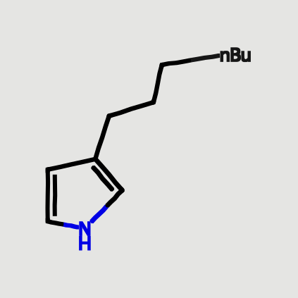 CCCCCCCc1cc[nH]c1